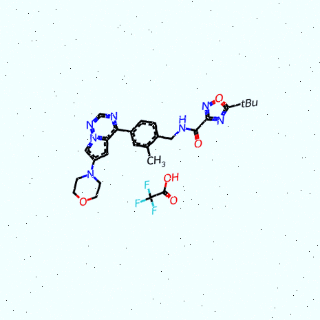 Cc1cc(-c2ncnn3cc(N4CCOCC4)cc23)ccc1CNC(=O)c1noc(C(C)(C)C)n1.O=C(O)C(F)(F)F